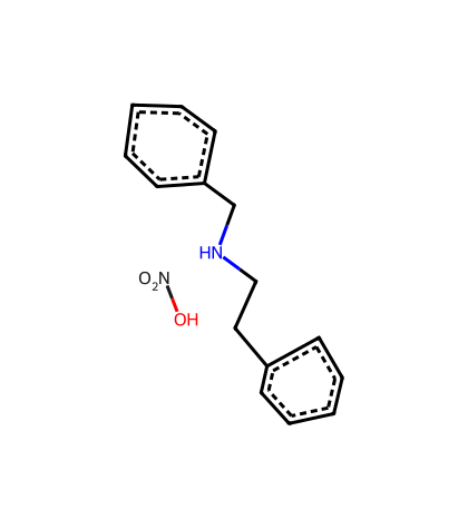 O=[N+]([O-])O.c1ccc(CCNCc2ccccc2)cc1